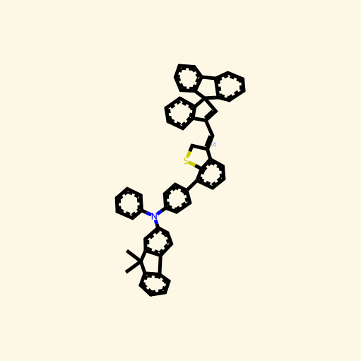 CC1(C)c2ccccc2-c2ccc(N(c3ccccc3)c3ccc(-c4cccc5c4SC/C5=C\C4=CC5(c6ccccc64)c4ccccc4-c4ccccc45)cc3)cc21